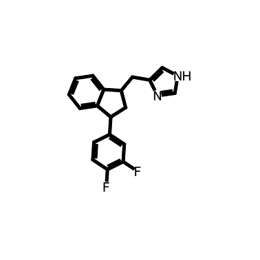 Fc1ccc(C2CC(Cc3c[nH]cn3)c3ccccc32)cc1F